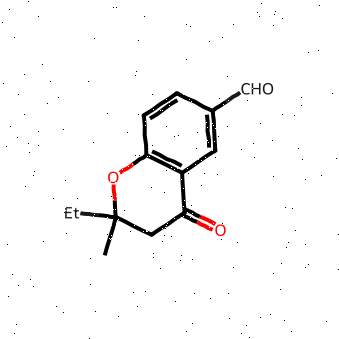 CCC1(C)CC(=O)c2cc(C=O)ccc2O1